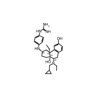 CCN(CC1CC1)[C@@H]1Cc2ccc(O)cc2[C@@]2(CC)C[C@H](Nc3ccc(NC(=N)N)cc3)CC[C@@]12O